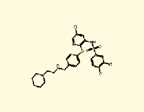 O=S(=O)(Nc1cc(Cl)cnc1Oc1ccc(CNCCN2CCCCC2)cc1)c1ccc(Cl)c(Cl)c1